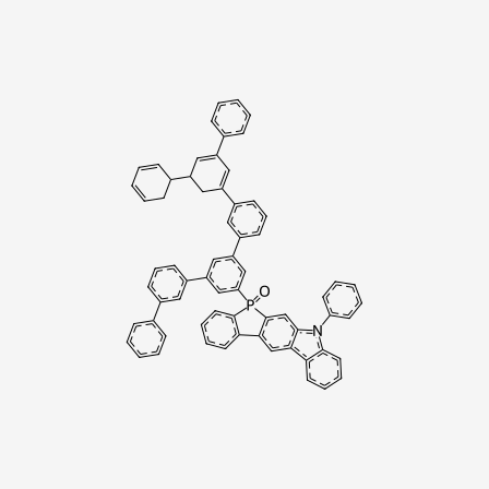 O=P1(c2cc(-c3cccc(C4=CC(c5ccccc5)=CC(C5C=CC=CC5)C4)c3)cc(-c3cccc(-c4ccccc4)c3)c2)c2ccccc2-c2cc3c4ccccc4n(-c4ccccc4)c3cc21